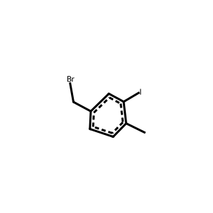 Cc1ccc(CBr)cc1I